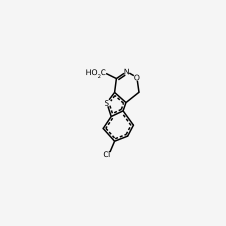 O=C(O)C1=NOCc2c1sc1cc(Cl)ccc21